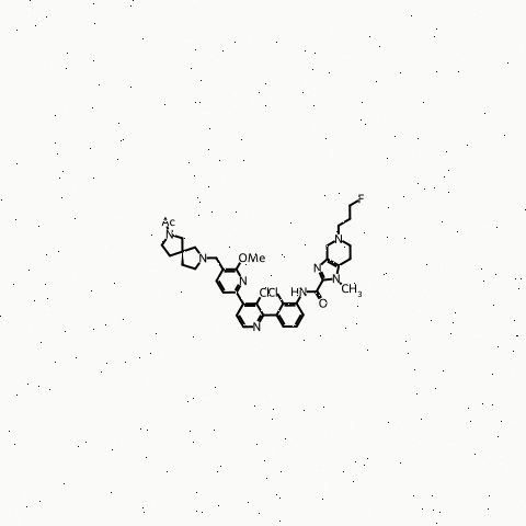 COc1nc(-c2ccnc(-c3cccc(NC(=O)c4nc5c(n4C)CCN(CCCF)C5)c3Cl)c2Cl)ccc1CN1CC[C@]2(CCN(C(C)=O)C2)C1